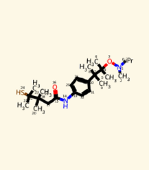 CC(C)N(C)OC(C)(C)C(C)(C)c1ccc(NC(=O)CC(C)(C)C(C)(C)S)cc1